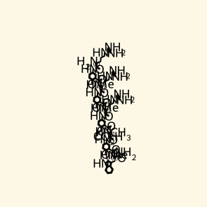 COc1ccc(NC(=O)[C@@H](C)NC(=O)c2cc(NC(=O)[C@@H](CCCNC(=N)N)NC(=O)c3cc(NC(=O)[C@@H](CCCNC(=N)N)NC(=O)c4cc(NC(=O)[C@H](N)CCCNC(=N)N)ccc4OC)ccc3OC)ccc2OCC(=O)O)cc1C(=O)N[C@H](Cc1c[nH]c2ccccc12)C(N)=O